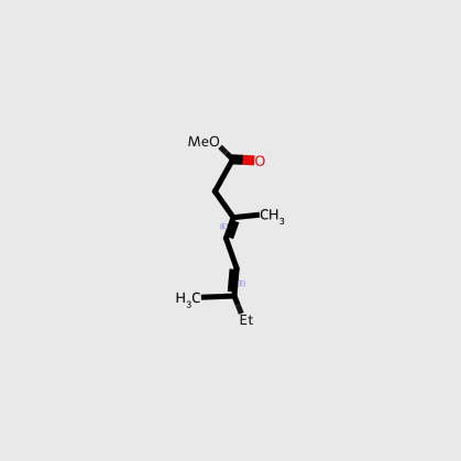 CC/C(C)=C/C=C(\C)CC(=O)OC